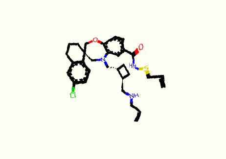 C=CCNC[C@@H]1CC[C@H]1CN1C[C@@]2(CCCc3cc(Cl)ccc32)COc2ccc(C(=O)NSCC=C)cc21